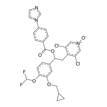 O=C(OC(Cc1c(Cl)c[n+]([O-])cc1Cl)c1ccc(OC(F)F)c(OCC2CC2)c1)c1ccc(-n2ccnc2)cc1